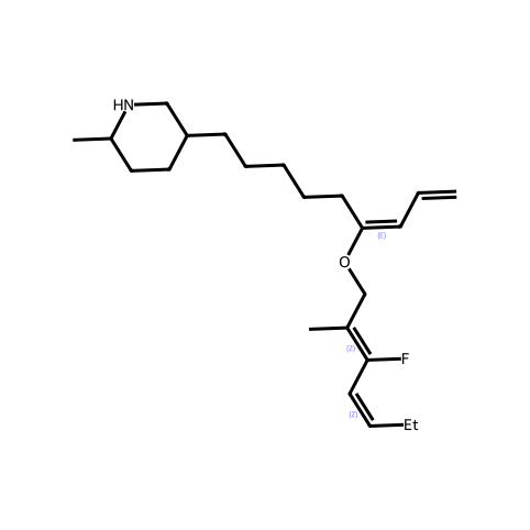 C=C/C=C(\CCCCCC1CCC(C)NC1)OC/C(C)=C(F)/C=C\CC